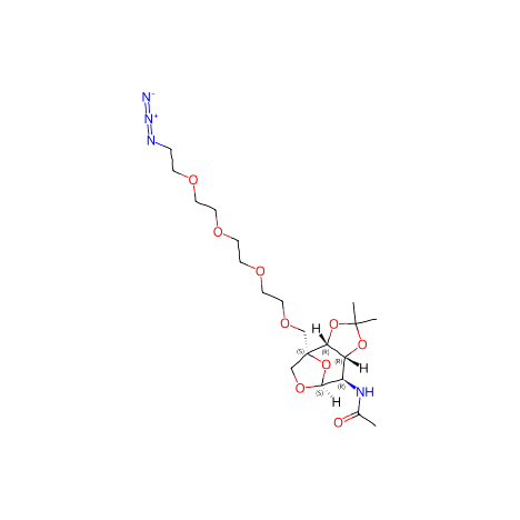 CC(=O)N[C@H]1[C@H]2OC[C@](COCCOCCOCCOCCN=[N+]=[N-])(O2)[C@@H]2OC(C)(C)O[C@H]12